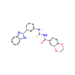 O=C(NC(=S)Nc1cccc(-c2nc3ccccc3[nH]2)c1)c1ccc2c(c1)OCCO2